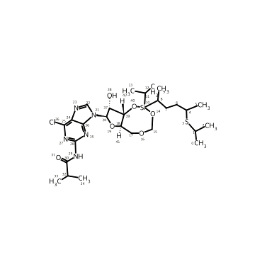 CC(C)SC(C)CCC(C)[Si]1(C(C)C)OCOC[C@H]2O[C@@H](n3cnc4c(Cl)nc(NC(=O)C(C)C)nc43)[C@H](O)[C@@H]2O1